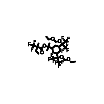 CCOCOC(C1CC(C(C)(C)OC(=O)C(C)(CC)C(F)(F)F)CC(C(OCOCC)(C(F)(F)F)C(F)(F)F)C1)(C(F)(F)F)C(F)(F)F